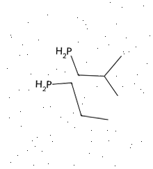 CC(C)CP.CCCP